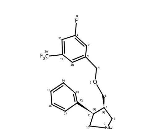 Fc1cc(COC[C@H]2CNC[C@H]2c2ccccc2)cc(C(F)(F)F)c1